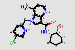 Cc1ccnc2c(C(=O)N[C@H]3CCCC[C@@H]3O)cn(Cc3ccc(Cl)cn3)c12